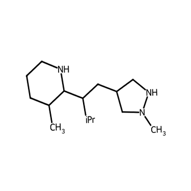 CC(C)C(CC1CNN(C)C1)C1NCCCC1C